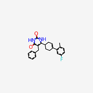 Cc1ccc(F)cc1C1=CCC(c2[nH]c(=O)[nH]c(=O)c2Cc2ccccc2)CC1